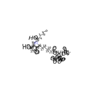 CCCCC[C@H](O)/C=C/[C@@H]1[C@H](O)CC(=O)[C@@H]1CCCCCCC(=O)OCC(CO[N+](=O)[O-])(CO[N+](=O)[O-])CO[N+](=O)[O-]